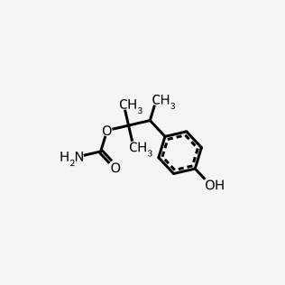 CC(c1ccc(O)cc1)C(C)(C)OC(N)=O